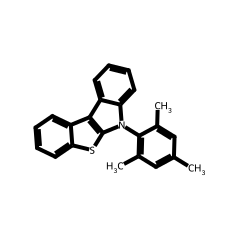 Cc1cc(C)c(-n2c3ccccc3c3c4ccccc4sc32)c(C)c1